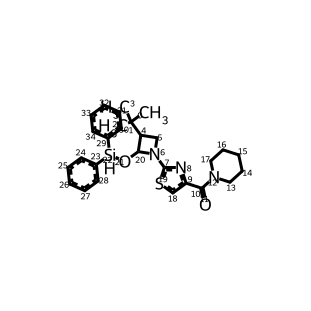 CC(C)(C)C1CN(c2nc(C(=O)N3CCCCC3)cs2)C1O[SiH](c1ccccc1)c1ccccc1